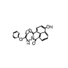 O=C(NN1C(=O)c2cccc3c(O)ccc(c23)C1=O)Oc1ccccc1